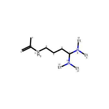 C=C(C)[SiH2]CCCC(N(CC)CC)N(CC)CC